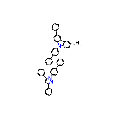 Cc1ccc2c(c1)c1cc(-c3ccccc3)ccc1n2-c1ccc(-c2ccccc2-c2ccccc2-c2ccc(-n3nc(-c4ccccc4)cc3-c3ccccc3)cc2)cc1